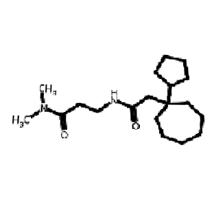 CN(C)C(=O)CCNC(=O)CC1(C2CCCC2)CCCCCC1